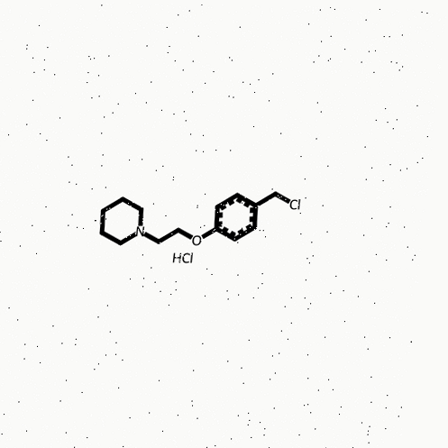 Cl.ClCc1ccc(OCCN2CCCCC2)cc1